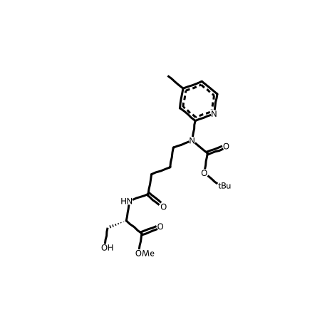 COC(=O)[C@H](CO)NC(=O)CCCN(C(=O)OC(C)(C)C)c1cc(C)ccn1